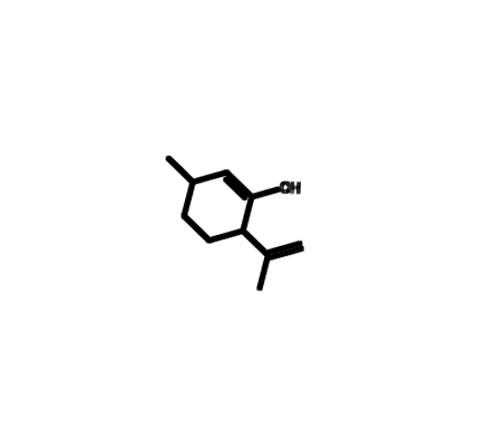 C=C(C)C1CCC(C)C=C1O